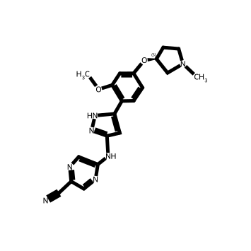 COc1cc(O[C@H]2CCN(C)C2)ccc1-c1cc(Nc2cnc(C#N)cn2)n[nH]1